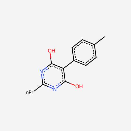 CCCc1nc(O)c(-c2ccc(C)cc2)c(O)n1